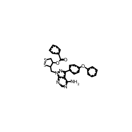 Nc1ncnc2c1c(-c1ccc(Oc3ccccc3)cc1)nn2CC1SSCC1OC(=O)c1ccccc1